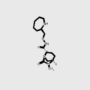 CN1C(=O)N2C[C@H]1CC[C@H]2C(=O)NOCC1CCCCCN1